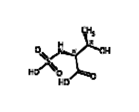 C[C@@H](O)[C@H](NS(=O)(=O)O)C(=O)O